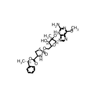 COc1nc(N)nc2c1ncn2[C@@H]1OC(CO[P@]2(=O)NC(C(=O)O[C@@H](C)c3ccccc3)CS2)[C@@H](O)[C@@]1(C)O